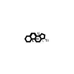 CC[C@H]1CC[C@H]2C3=CC=C4CCCC[C@@]4(C)[C@H]3CC[C@]12C